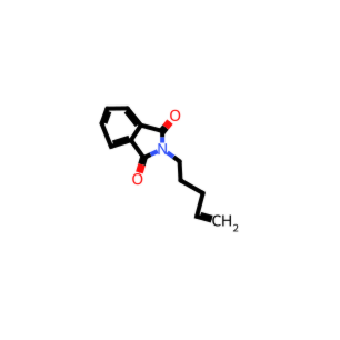 C=CCCCN1C(=O)c2ccccc2C1=O